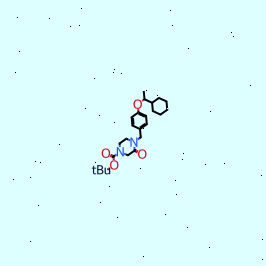 CC(Oc1ccc(CN2CCN(C(=O)OC(C)(C)C)CC2=O)cc1)C1CCCCC1